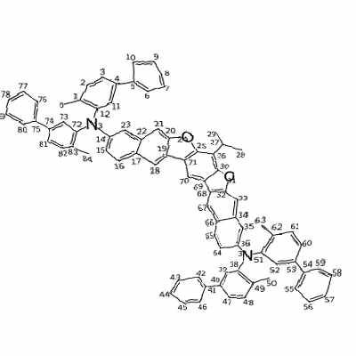 Cc1ccc(-c2ccccc2)cc1N(c1ccc2cc3c(cc2c1)oc1c(C(C)C)c2oc4cc5cc(N(c6cc(-c7ccccc7)ccc6C)c6cc(-c7ccccc7)ccc6C)ccc5cc4c2cc13)c1cc(-c2ccccc2)ccc1C